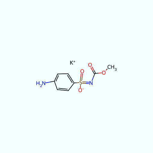 COC(=O)N=S(=O)([O-])c1ccc(N)cc1.[K+]